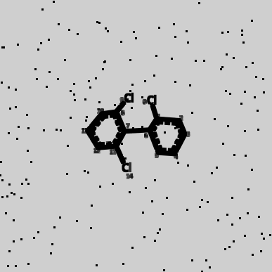 Clc1ccccc1-c1c(Cl)cccc1Cl